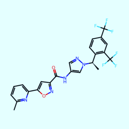 Cc1cccc(-c2cc(C(=O)Nc3cnn([C@H](C)c4ccc(C(F)(F)F)cc4C(F)(F)F)c3)no2)n1